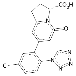 O=C(O)[C@H]1CCc2cc(-c3cc(Cl)ccc3-n3cnnn3)cc(=O)n21